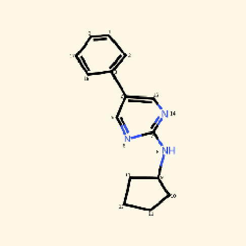 c1ccc(-c2cnc(NC3CCCC3)nc2)cc1